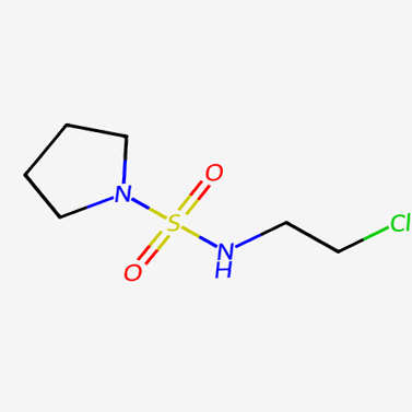 O=S(=O)(NCCCl)N1CCCC1